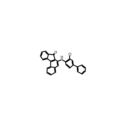 O=C1c2ccccc2-c2c1c(Nc1ccc(-c3ccccc3)cc1Cl)cc1ccccc21